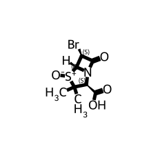 CC1(C)[C@H](C(=O)O)N2C(=O)[C@H](Br)[C@H]2[S+]1[O-]